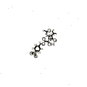 CC(=O)SC1C(C(C)C)C(=O)N1C(O)C(=O)OCc1ccc([N+](=O)[O-])cc1